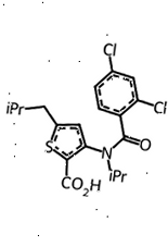 CC(C)Cc1cc(N(C(=O)c2ccc(Cl)cc2Cl)C(C)C)c(C(=O)O)s1